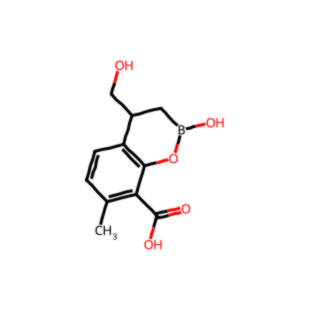 Cc1ccc2c(c1C(=O)O)OB(O)CC2CO